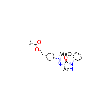 C=C(C)C(=O)OCCc1ccc(/N=N/C(C(C)=O)C(=O)Nc2ccccc2OC)cc1